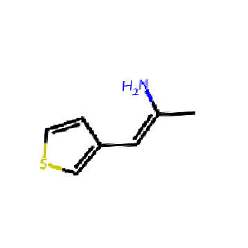 C/C(N)=C/c1ccsc1